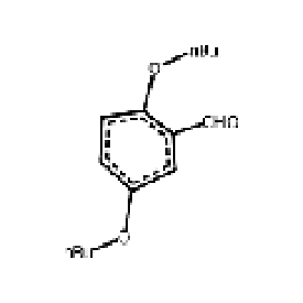 CCCCOc1ccc(OCCCC)c(C=O)c1